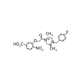 C[C@@H]1CN(Cc2ccc(F)cc2)[C@@H](C)CN1C(=O)COc1cc(C(=O)O)ccc1[N+](=O)[O-]